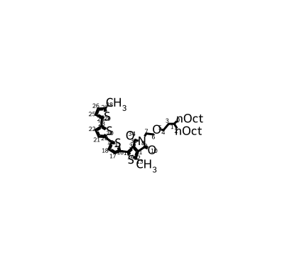 CCCCCCCCC(CCCCCCCC)CCOCCN1C(=O)c2c(C)sc(-c3ccc(-c4ccc(-c5ccc(C)s5)s4)s3)c2C1=O